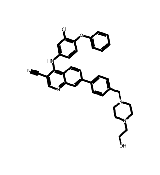 N#Cc1cnc2cc(-c3ccc(CN4CCN(CCO)CC4)cc3)ccc2c1Nc1ccc(Oc2ccccc2)c(Cl)c1